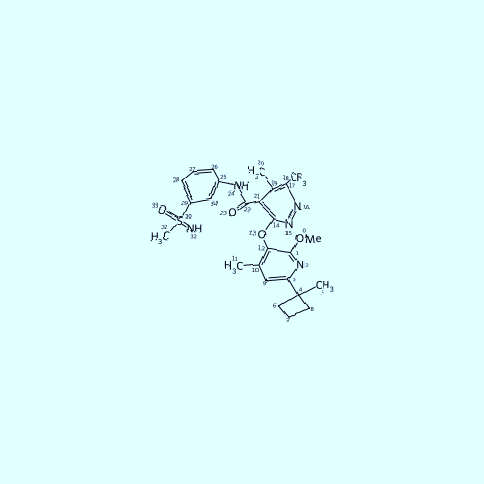 COc1nc(C2(C)CCC2)cc(C)c1Oc1nnc(C(F)(F)F)c(C)c1C(=O)Nc1cccc(S(C)(=N)=O)c1